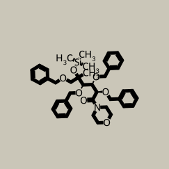 CC(COCc1ccccc1)(O[Si](C)(C)C)[C@@H](OCc1ccccc1)[C@H](OCc1ccccc1)[C@@H](OCc1ccccc1)C(=O)N1CCOCC1